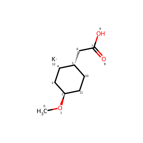 CO[C@H]1CC[C@H](CC(=O)O)CC1.[K]